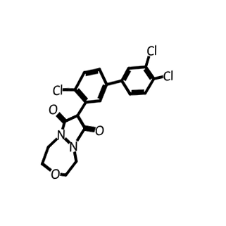 O=C1C(c2cc(-c3ccc(Cl)c(Cl)c3)ccc2Cl)C(=O)N2CCOCCN12